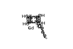 CCOCCOCCOc1ccc(CC(C(=O)O)N2CCN(CC(=O)O)CCN(C(C)C(=O)O)CCN(CC(=O)O)CC2)cc1.[Gd]